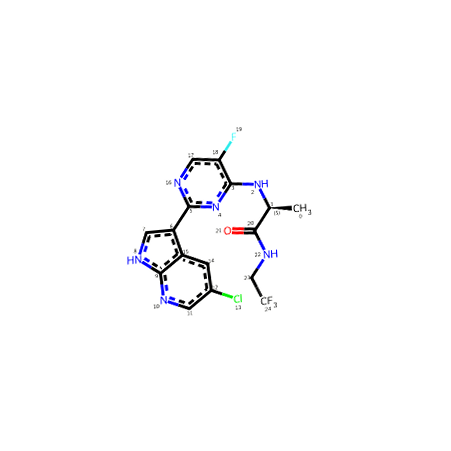 C[C@H](Nc1nc(-c2c[nH]c3ncc(Cl)cc23)ncc1F)C(=O)NCC(F)(F)F